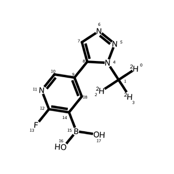 [2H]C([2H])([2H])n1nncc1-c1cnc(F)c(B(O)O)c1